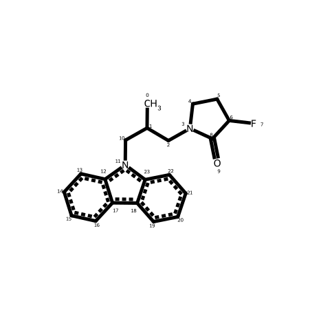 CC(CN1CCC(F)C1=O)Cn1c2ccccc2c2ccccc21